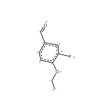 [CH2]COc1ccc(C=O)cc1F